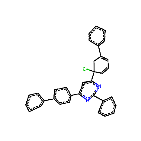 ClC1(c2cc(-c3ccc(-c4ccccc4)cc3)nc(-c3ccccc3)n2)C=CC=C(c2ccccc2)C1